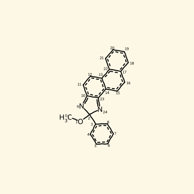 COC1(c2ccccc2)N=c2ccc3c(ccc4ccccc43)c2=N1